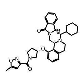 Cc1cc(C(=O)N2CC[C@H](Oc3cccc4c3[C@@H](CN3C(=O)c5ccccc5C3=O)N(C(=O)C3CCCCC3)CC4)C2)no1